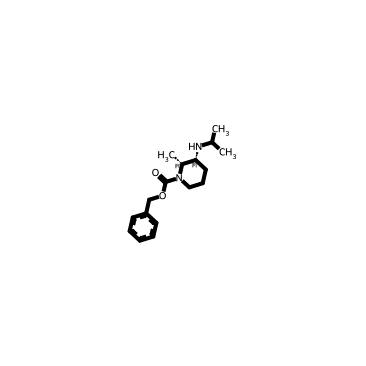 CC(C)N[C@@H]1CCCN(C(=O)OCc2ccccc2)[C@@H]1C